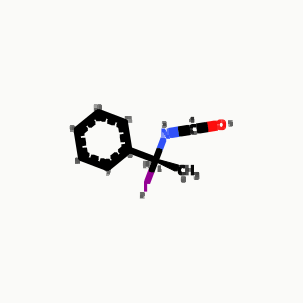 C[C@](I)(N=C=O)c1ccccc1